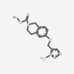 Cn1nncc1COc1ccc2c(c1)CCN(C(=O)OC(C)(C)C)C2